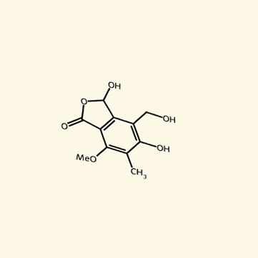 COc1c(C)c(O)c(CO)c2c1C(=O)OC2O